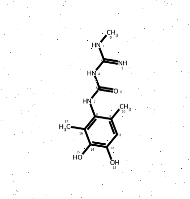 CNC(=N)NC(=O)Nc1c(C)cc(O)c(O)c1C